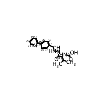 CC(C)[C@H](NC(=O)O)C(=O)NNCc1ccc(-c2ccccn2)cc1